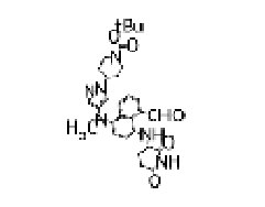 CN(c1cnn(C2CCN(C(=O)OC(C)(C)C)CC2)c1)c1ccc(NC2CCC(=O)NC2=O)c2c(C=O)cccc12